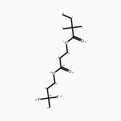 CCC(C)(C)C(=O)OCCC(=O)OCCC(C)(F)F